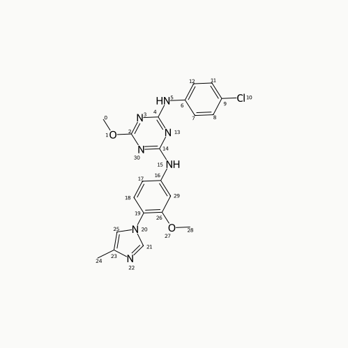 COc1nc(Nc2ccc(Cl)cc2)nc(Nc2ccc(-n3cnc(C)c3)c(OC)c2)n1